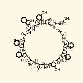 CCCC[C@H]1C(=O)N2C[C@H](O)C[C@@H]2C(=O)N[C@@H](CC(=O)O)C(=O)N[C@@H](C(C)C)C(=O)N(C)[C@@H](Cc2ccccc2)C(=O)N[C@@H](Cc2ccc(O)cc2)C(=O)N(C)CC(=O)N[C@@H](Cc2c[nH]c3ccccc23)C(=O)N[C@@H](Cc2ccc(O)cc2)C(=O)N[C@@H](CC(C)C)C(=O)N[C@H](C(=O)NCC(N)=O)CSCC(=O)N[C@@H](Cc2ccccc2)C(=O)N(C)[C@@H](Cc2ccccc2)C(=O)N1C